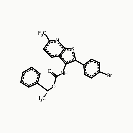 C[C@@H](OC(=O)Nc1c(-c2ccc(Br)cc2)sc2nc(C(F)(F)F)ccc12)c1ccccc1